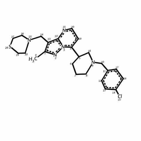 Cc1nn2c(C3CCCN(Cc4ccc(Cl)cc4)C3)ccnc2c1CN1CCSCC1